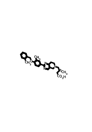 Cc1ccccc1COc1ccc(-c2ncc3c(n2)CCN(C[C@H](C)CC(=O)O)C3)cc1C